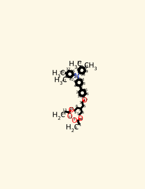 C=CC(=O)OCCC(CCOC(=O)C=C)CCOc1ccc(-c2ccc(N(c3ccc(C)c(C)c3)c3ccc(C)c(C)c3)cc2)cc1